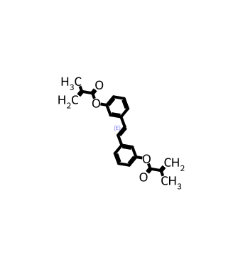 C=C(C)C(=O)Oc1cccc(/C=C/c2cccc(OC(=O)C(=C)C)c2)c1